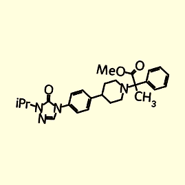 COC(=O)C(C)(c1ccccc1)N1CCC(c2ccc(-n3cnn(C(C)C)c3=O)cc2)CC1